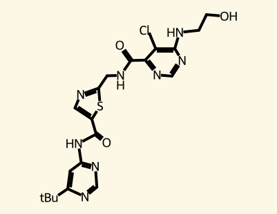 CC(C)(C)c1cc(NC(=O)c2cnc(CNC(=O)c3ncnc(NCCO)c3Cl)s2)ncn1